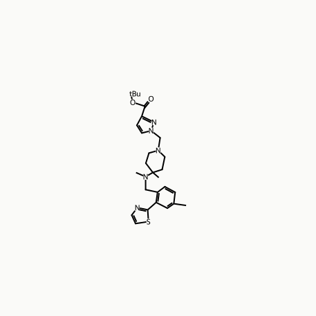 Cc1ccc(CN(C)C2(C)CCN(Cn3ccc(C(=O)OC(C)(C)C)n3)CC2)c(-c2nccs2)c1